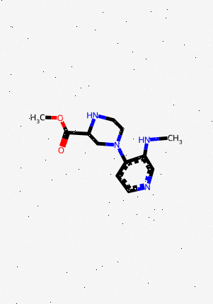 CNc1cnccc1N1CCNC(C(=O)OC)C1